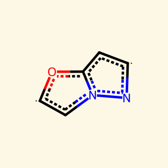 [c]1cc2o[c]cn2n1